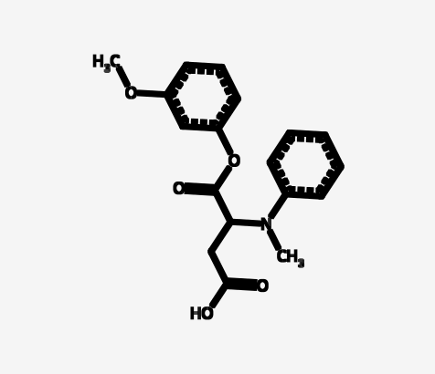 COc1cccc(OC(=O)C(CC(=O)O)N(C)c2ccccc2)c1